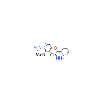 CNc1c(N)ncc(O/C(C=N)=C2\C=CC=CN2)c1Cl